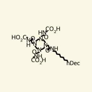 CCCCCCCCCCCCCCCCCCNC(=O)CN1CCN(CC(=O)NCC(=O)O)CCN(CC(=O)NCC(=O)O)CCN(CC(=O)NCC(=O)O)CC1